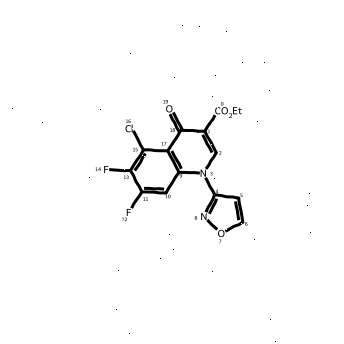 CCOC(=O)c1cn(-c2ccon2)c2cc(F)c(F)c(Cl)c2c1=O